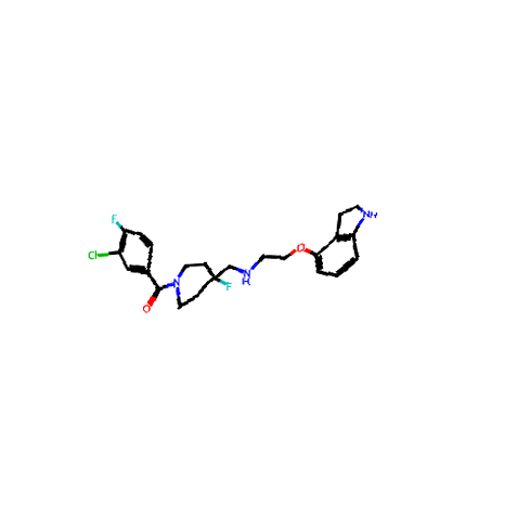 O=C(c1ccc(F)c(Cl)c1)N1CCC(F)(CNCCOc2cccc3c2CCN3)CC1